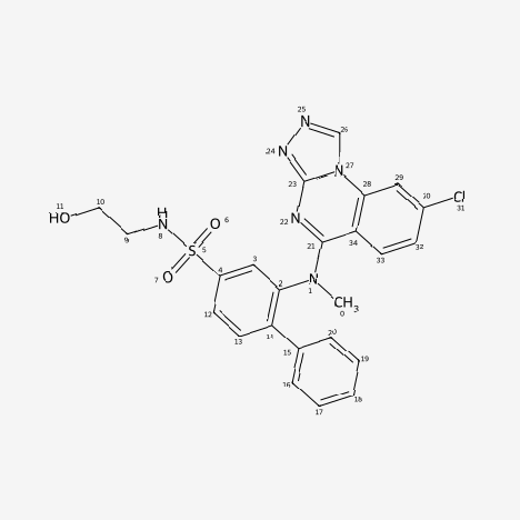 CN(c1cc(S(=O)(=O)NCCO)ccc1-c1ccccc1)c1nc2nncn2c2cc(Cl)ccc12